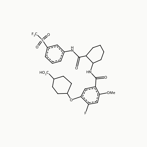 COc1cc(F)c(OC2CCC(C(=O)O)CC2)cc1C(=O)NC1CCCCC1C(=O)Nc1cccc(S(=O)(=O)C(F)(F)F)c1